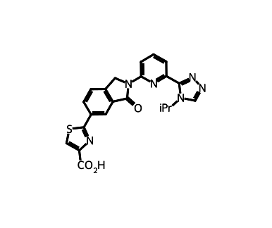 CC(C)n1cnnc1-c1cccc(N2Cc3ccc(-c4nc(C(=O)O)cs4)cc3C2=O)n1